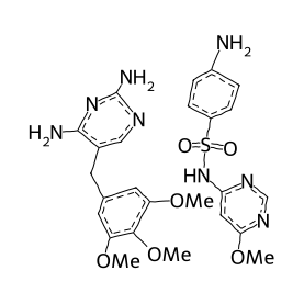 COc1cc(Cc2cnc(N)nc2N)cc(OC)c1OC.COc1cc(NS(=O)(=O)c2ccc(N)cc2)ncn1